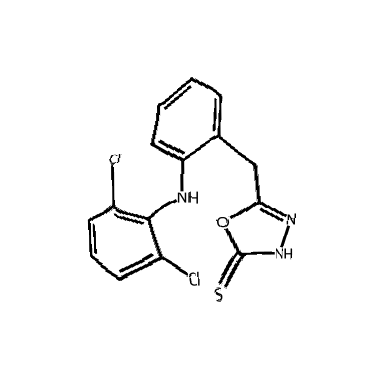 S=c1[nH]nc(Cc2ccccc2Nc2c(Cl)cccc2Cl)o1